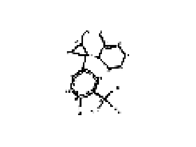 CC1=CCCCC1C1(c2ccc(F)c(C(F)(F)F)c2)CC1C